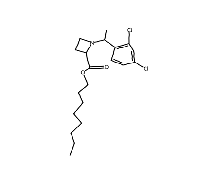 CCCCCCCCOC(=O)C1CCN1C(C)c1ccc(Cl)cc1Cl